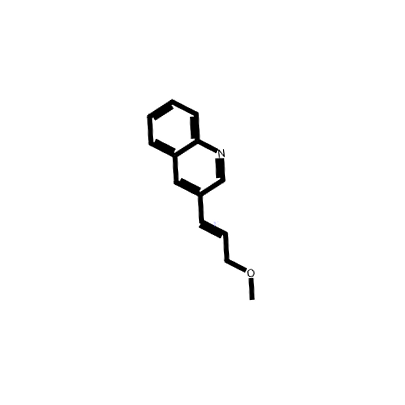 COC/C=C/c1cnc2ccccc2c1